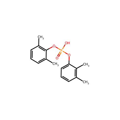 Cc1cccc(OP(=O)(O)Oc2c(C)cccc2C)c1C